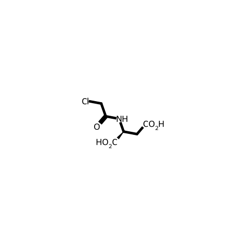 O=C(O)C[C@H](NC(=O)CCl)C(=O)O